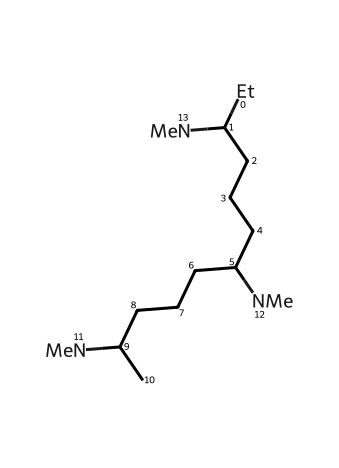 CCC(CCCC(CCCC(C)NC)NC)NC